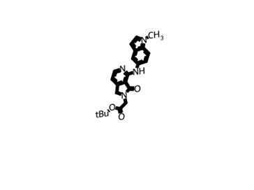 Cn1ccc2cc(Nc3nccc4c3C(=O)N(CC(=O)OC(C)(C)C)C4)ccc21